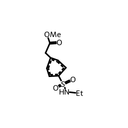 CCNS(=O)(=O)c1ccc(CC(=O)OC)cc1